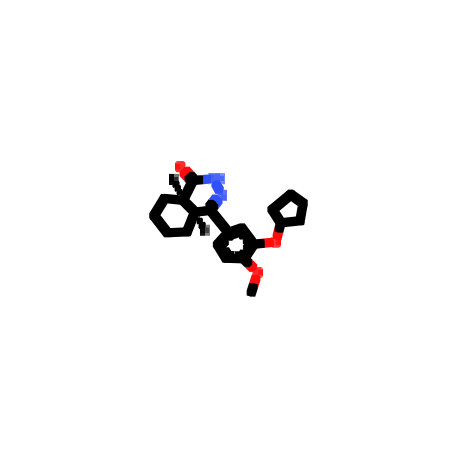 COc1ccc(C2=NNC(=O)[C@@H]3CCCC[C@H]23)cc1OC1CCCC1